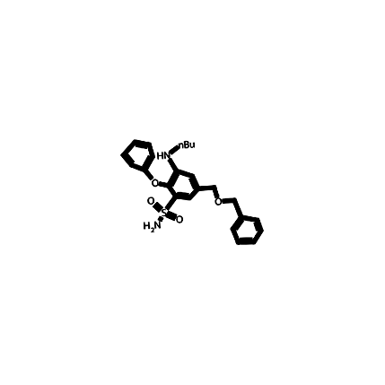 CCCCNc1cc(COCc2ccccc2)cc(S(N)(=O)=O)c1Oc1ccccc1